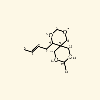 CC=CCC1OCOCC12COC(C)OC2